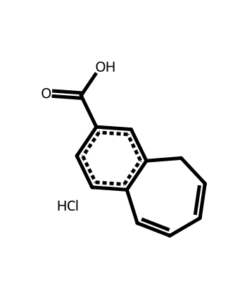 Cl.O=C(O)c1ccc2c(c1)CC=CC=C2